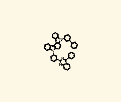 c1ccc(-c2cccc(-n3c4ccccc4c4c5c6ccccc6n(-c6cccc(-c7nc(-c8ccccc8)c8ccccc8n7)c6)c5ccc43)c2)cc1